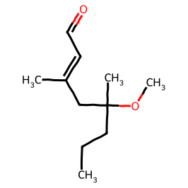 CCCC(C)(CC(C)=CC=O)OC